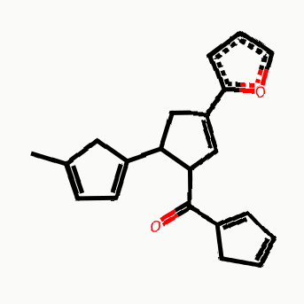 CC1=CC=C(C2CC(c3ccco3)=CC2C(=O)C2=CC=CC2)C1